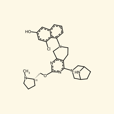 CN1CCC[C@H]1COc1nc2c(c(N3CC4CCC(C3)N4)n1)CCN(c1cccc3cc(O)cc(Cl)c13)C2